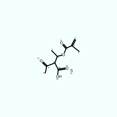 C=C(C)C(=O)OC(C)C(C(C)=O)C(=O)O.[Ti]